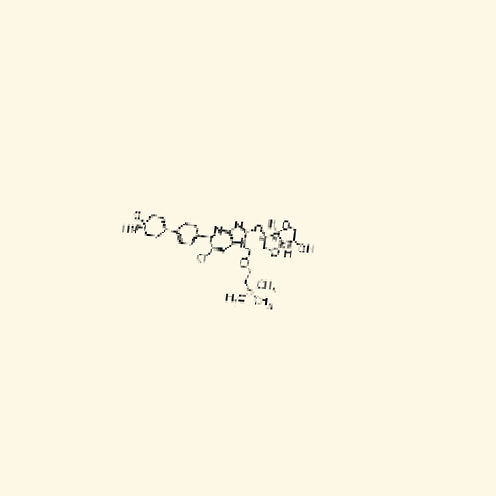 C[Si](C)(C)CCOCn1c(O[C@@H]2CO[C@H]3[C@@H]2OC[C@H]3O)nc2nc(-c3ccc(C4=CCS(=N)(=O)CC4)cc3)c(Cl)cc21